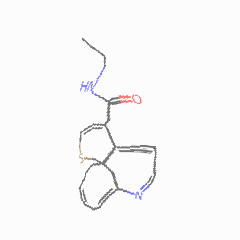 CCNC(=O)C1=CSC23CC=CC=C2N=CC=C13